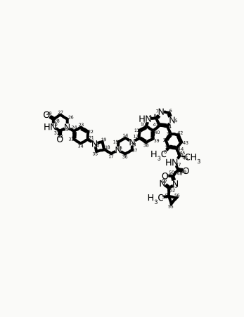 Cc1cc(-c2ncnc3[nH]c4cc(N5CCN(CC6CN(C7C=CC(N8CCC(=O)NC8=O)=CC7)C6)CC5)ccc4c23)ccc1[C@@H](C)NC(=O)c1nc(C2(C)CC2)no1